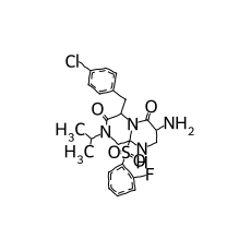 CC(C)N1CC2(S(=O)(=O)c3ccccc3F)NCC(N)C(=O)N2C(Cc2ccc(Cl)cc2)C1=O